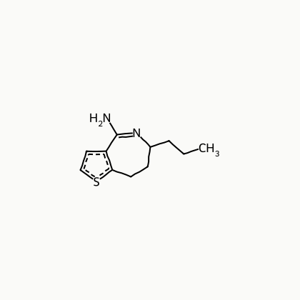 CCCC1CCc2sccc2C(N)=N1